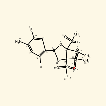 CS(=O)(=O)C1(S(C)(=O)=O)OB(c2cc(F)c(N)cc2F)OC1(S(C)(=O)=O)S(C)(=O)=O